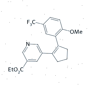 CCOC(=O)c1cncc(C2=C(c3cc(C(F)(F)F)ccc3OC)CCC2)c1